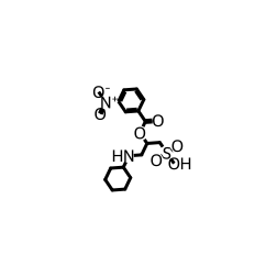 O=C(OC(CNC1CCCCC1)CS(=O)(=O)O)c1cccc([N+](=O)[O-])c1